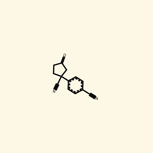 N#Cc1ccc(C2(C#N)CCC(=O)C2)cc1